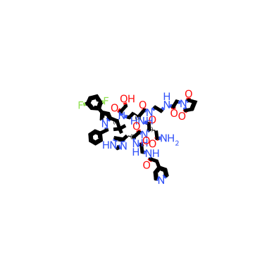 CC(C)(C)[C@H](c1cc(-c2cc(F)ccc2F)cn1Cc1ccccc1)N(CC[C@H](NC(=O)[C@H](CC(N)=O)NC(=O)[C@@H](Cc1c[nH]cn1)NC(=O)CNC(=O)Cc1ccncc1)C(=O)NCCNC(=O)CN1C(=O)C=CC1=O)C(=O)CO